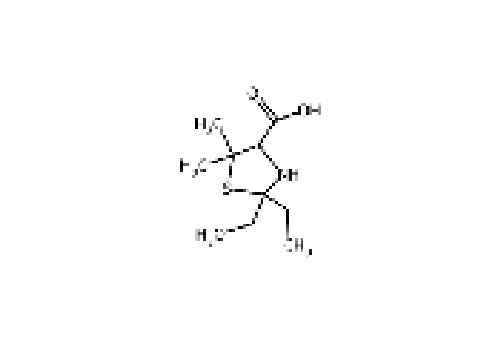 CCC1(CC)NC(C(=O)O)C(C)(C)S1